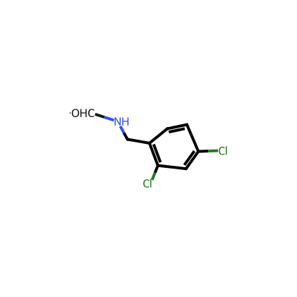 O=[C]NCc1ccc(Cl)cc1Cl